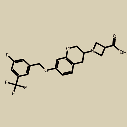 O=C(O)C1CN(C2COc3cc(OCc4cc(F)cc(C(F)(F)F)c4)ccc3C2)C1